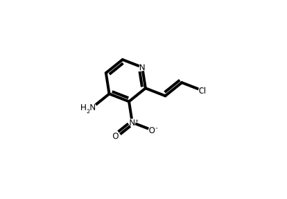 Nc1ccnc(C=CCl)c1[N+](=O)[O-]